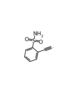 [C]#Cc1ccccc1S(N)(=O)=O